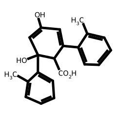 Cc1ccccc1C1=CC(O)=CC(O)(c2ccccc2C)C1C(=O)O